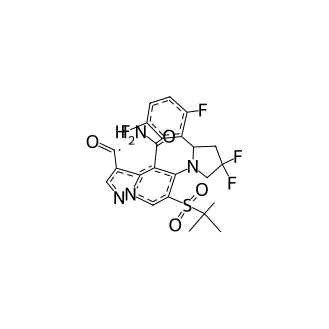 CC(C)(C)S(=O)(=O)c1cn2ncc([C]=O)c2c(C(N)=O)c1N1CC(F)(F)CC1c1cc(F)ccc1F